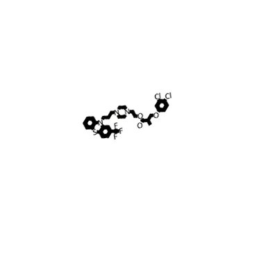 CC(COc1ccc(Cl)c(Cl)c1)C(=O)OCCN1CCN(CCCN2c3ccccc3Sc3ccc(C(F)(F)F)cc32)CC1